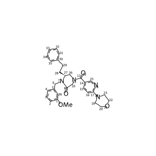 COc1cccc(CN2C(=O)CN(C(=O)c3ccc(N4CCOCC4)nc3)C[C@@H]2CCc2ccccc2)c1